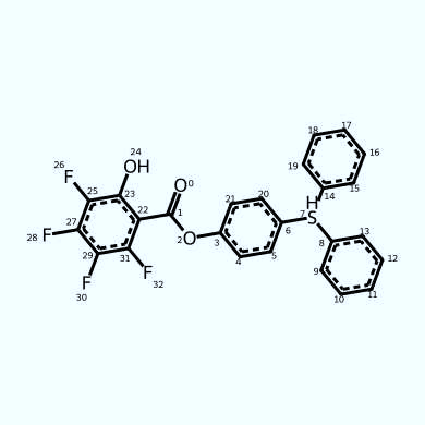 O=C(Oc1ccc([SH](c2ccccc2)c2ccccc2)cc1)c1c(O)c(F)c(F)c(F)c1F